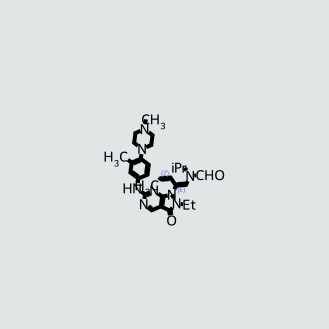 C/C=C\C(=C/N(C=O)C(C)C)n1c2nc(Nc3ccc(N4CCN(C)CC4)c(C)c3)ncc2c(=O)n1CC